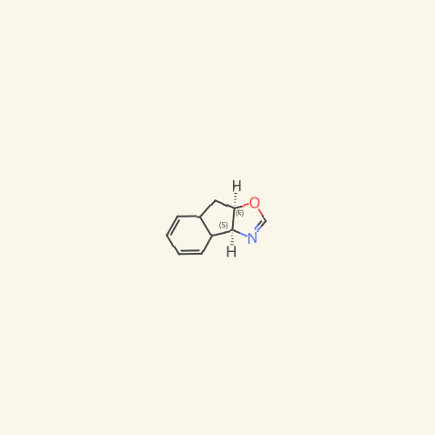 C1=CC2C[C@H]3OC=N[C@H]3C2C=C1